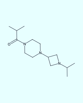 CC(C)C(=O)N1CCN(C2CN(C(C)C)C2)CC1